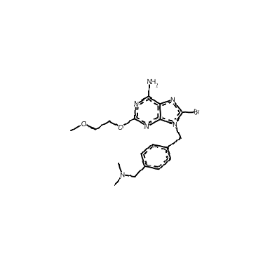 COCCOc1nc(N)c2nc(Br)n(Cc3ccc(CN(C)C)cc3)c2n1